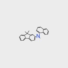 CN(c1ccc2c(c1)C(C)(C)c1ccccc1-2)c1cccc2ccccc12